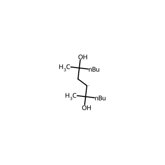 CCCCC(C)(O)[CH]CC(C)(O)CCCC